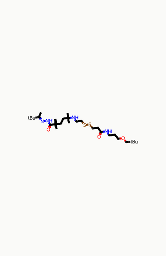 C/C(=N\NC(=O)C(C)(C)CCC(C)(C)NCCSSCCC(=O)NCCCOCC(C)(C)C)C(C)(C)C